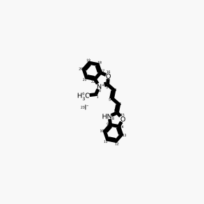 CC[n+]1c(C=CC=C2Nc3ccccc3O2)oc2ccccc21.[I-]